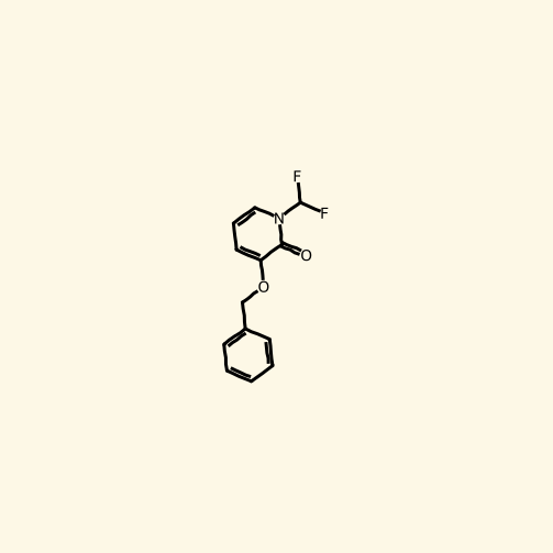 O=c1c(OCc2ccccc2)cccn1C(F)F